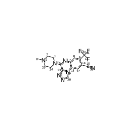 CN1CCN(c2nc3cc(C(F)(F)F)c(C#N)cc3n3cnnc23)CC1